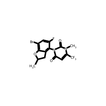 CC1Cc2c(c(Br)cc(F)c2-n2c(=O)cc(C(F)(F)F)n(C)c2=O)O1